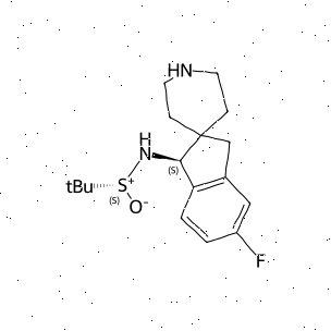 CC(C)(C)[S@@+]([O-])N[C@@H]1c2ccc(F)cc2CC12CCNCC2